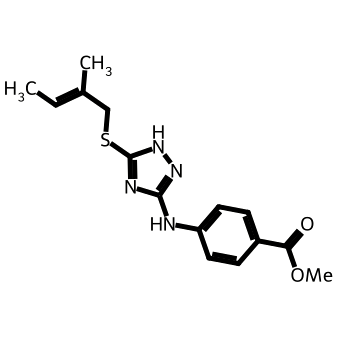 CC=C(C)CSc1nc(Nc2ccc(C(=O)OC)cc2)n[nH]1